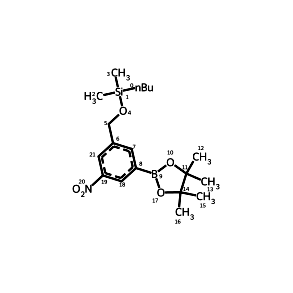 CCCC[Si](C)(C)OCc1cc(B2OC(C)(C)C(C)(C)O2)cc([N+](=O)[O-])c1